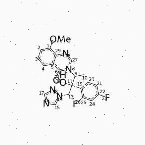 COc1cccc2c(=O)n(C(C)C(O)(Cn3cncn3)c3ccc(F)cc3F)cnc12